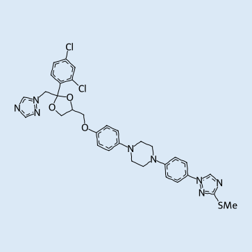 CSc1ncn(-c2ccc(N3CCN(c4ccc(OCC5COC(Cn6cncn6)(c6ccc(Cl)cc6Cl)O5)cc4)CC3)cc2)n1